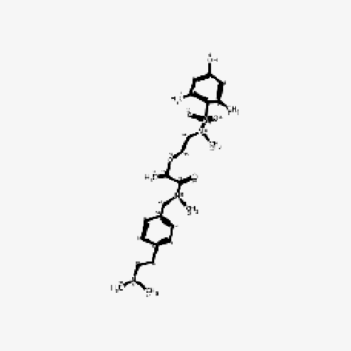 Cc1cc(O)cc(C)c1S(=O)(=O)N(C)CCOC(C)C(=O)N(C)Cc1ccc(CCN(C)C)cc1